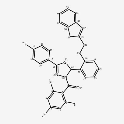 Cc1cc(F)cc(F)c1C(=O)N1N=C(c2ccc(F)cc2)SC1c1ccccc1CCC1=Cc2ccccc2C1